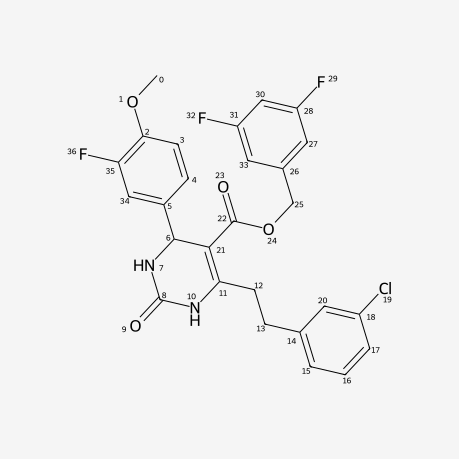 COc1ccc(C2NC(=O)NC(CCc3cccc(Cl)c3)=C2C(=O)OCc2cc(F)cc(F)c2)cc1F